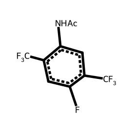 CC(=O)Nc1cc(C(F)(F)F)c(F)cc1C(F)(F)F